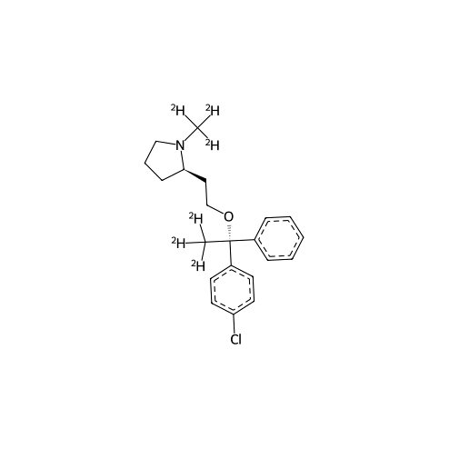 [2H]C([2H])([2H])N1CCC[C@@H]1CCO[C@](c1ccccc1)(c1ccc(Cl)cc1)C([2H])([2H])[2H]